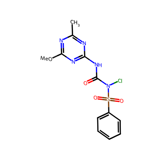 COc1nc(C)nc(NC(=O)N(Cl)S(=O)(=O)c2ccccc2)n1